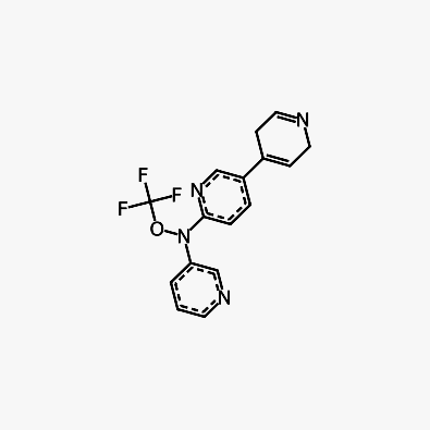 FC(F)(F)ON(c1cccnc1)c1ccc(C2=CCN=CC2)cn1